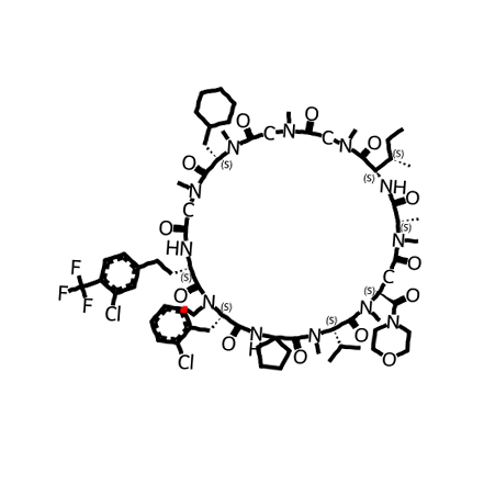 CC[C@H](C)[C@@H]1NC(=O)[C@H](C)N(C)C(=O)C[C@@H](C(=O)N2CCOCC2)N(C)C(=O)[C@H](C(C)C)N(C)C(=O)C2(CCCC2)NC(=O)[C@H](Cc2ccccc2Cl)N(CC)C(=O)[C@H](CCc2ccc(C(F)(F)F)c(Cl)c2)NC(=O)CN(C)C(=O)[C@H](CC2CCCCC2)N(C)C(=O)CN(C)C(=O)CN(C)C1=O